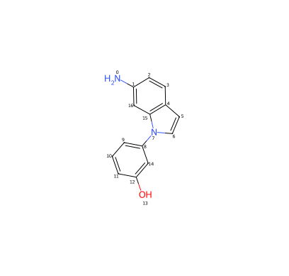 Nc1ccc2ccn(-c3cccc(O)c3)c2c1